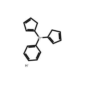 C1=CC[C]([Zr+]([C]2=CC=CC2)[c]2ccccc2)=C1.[H-]